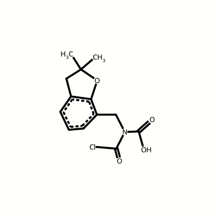 CC1(C)Cc2cccc(CN(C(=O)O)C(=O)Cl)c2O1